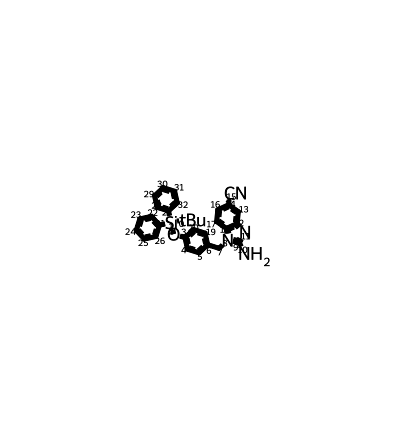 CC(C)(C)[Si](Oc1ccc(Cn2c(N)nc3cc(C#N)ccc32)cc1)(c1ccccc1)c1ccccc1